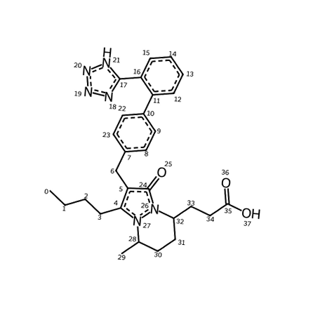 CCCCc1c(Cc2ccc(-c3ccccc3-c3nnn[nH]3)cc2)c(=O)n2n1C(C)CCC2CCC(=O)O